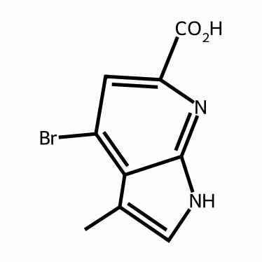 Cc1c[nH]c2nc(C(=O)O)cc(Br)c12